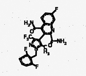 Cc1c(-c2c(C(N)=O)nc3cc(F)ccc3c2C(N)=O)c(C(F)(F)F)nn1Cc1c(F)cccc1F